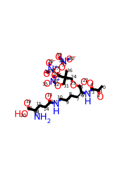 CC(=O)C(=O)N[C@@H](CCCCNC(=O)CC[C@H](N)C(=O)O)C(=O)OCC(CO[N+](=O)[O-])(CO[N+](=O)[O-])CO[N+](=O)[O-]